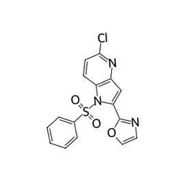 O=S(=O)(c1ccccc1)n1c(-c2ncco2)cc2nc(Cl)ccc21